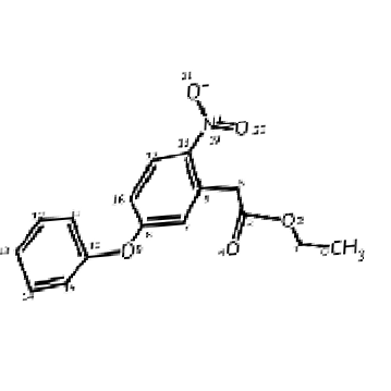 CCOC(=O)Cc1cc(Oc2ccccc2)ccc1[N+](=O)[O-]